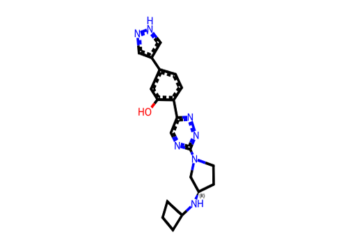 Oc1cc(-c2cn[nH]c2)ccc1-c1cnc(N2CC[C@@H](NC3CCC3)C2)nn1